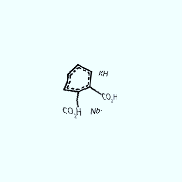 O=C(O)c1ccccc1C(=O)O.[KH].[Nb]